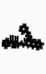 N=C(NCCCCC[C@H](Cc1ccccc1)C(=O)NOCCC1CCCCC1)Nc1ccncc1